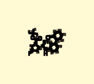 CC(C)(C)OC(=O)N1C[C@H](F)C[C@H]1C(=S)Nc1cccc(-c2ccccc2Cl)c1F